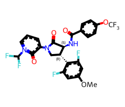 COc1cc(F)c([C@@H]2CN(c3cccn(C(F)F)c3=O)C(=O)[C@H]2NC(=O)c2ccc(OC(F)(F)F)cc2)c(F)c1